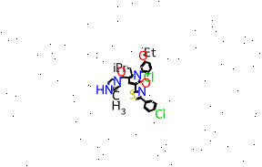 CCOc1ccc(Cl)c(-n2c(CC(C)C)c(C(=O)N3CCN[C@@H](C)C3)cc(-c3nc(-c4ccc(Cl)cc4)cs3)c2=O)c1